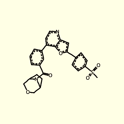 CS(=O)(=O)c1ccc(-c2cc3nccc(-c4cccc(C(=O)N5C6CCC5COC6)c4)c3o2)cc1